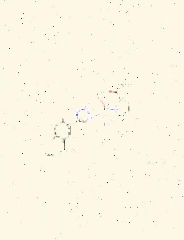 CNC(=O)C1CC(O)CN1C(=O)[C@@H](n1cc(-c2cccc(COC)c2)nn1)C(C)(C)C